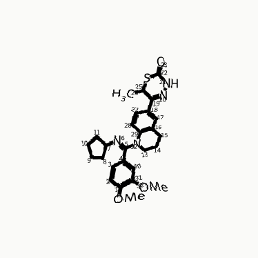 COc1ccc(C(=NC2CCCC2)N2CCCc3cc(C4=NNC(=O)SC4C)ccc32)cc1OC